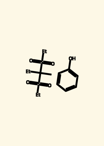 CCC(C)(S(=O)(=O)CC)S(=O)(=O)CC.Oc1ccccc1